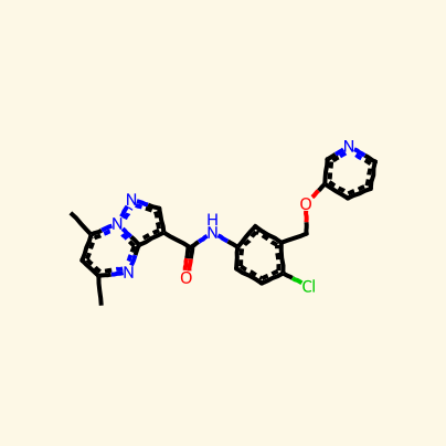 Cc1cc(C)n2ncc(C(=O)Nc3ccc(Cl)c(COc4cccnc4)c3)c2n1